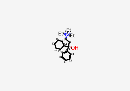 CC[N+](CC)(CC)CC[C@@](O)(c1ccccc1)C1CCCCC1